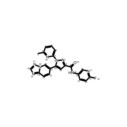 Cc1cccc(-n2nc(C(=O)Nc3ccc(F)nc3)cc2-c2ccc3ncnn3c2)n1